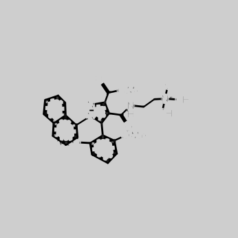 COC(=O)c1nn(-c2cccc3ccccc23)c(-c2c(OC)cccc2OC)c1C(=O)NCC[N+](C)(C)C